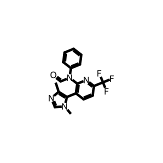 Cc1ncn(C)c1-c1ccc(C(F)(F)F)nc1N(C=O)c1ccccc1